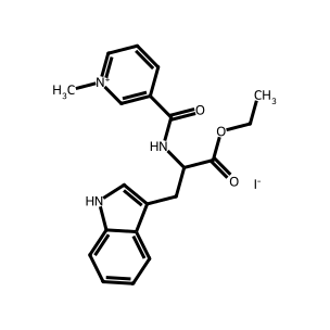 CCOC(=O)C(Cc1c[nH]c2ccccc12)NC(=O)c1ccc[n+](C)c1.[I-]